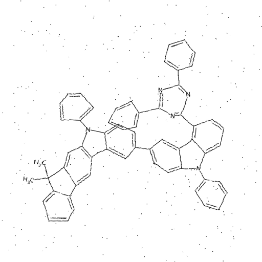 CC1(C)c2ccccc2-c2cc3c4cc(-c5ccc6c(c5)c5c(-c7nc(-c8ccccc8)nc(-c8ccccc8)n7)cccc5n6-c5ccccc5)ccc4n(-c4ccccc4)c3cc21